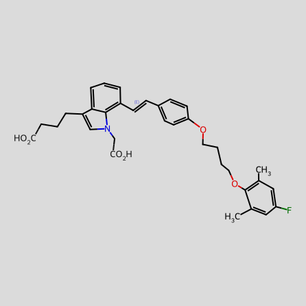 Cc1cc(F)cc(C)c1OCCCCOc1ccc(/C=C/c2cccc3c(CCCC(=O)O)cn(CC(=O)O)c23)cc1